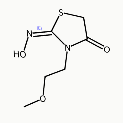 COCCN1C(=O)CS/C1=N/O